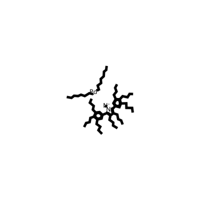 CCCCC1=C(c2cc(CCCC)c(CCCC)c(CCCC)c2)[N+](=[N-])C(c2cc(CCCC)c(CCCC)c(CCCC)c2)=C1CCCC.CCCCCCC[CH2][Pd][CH2]CCCCCCC